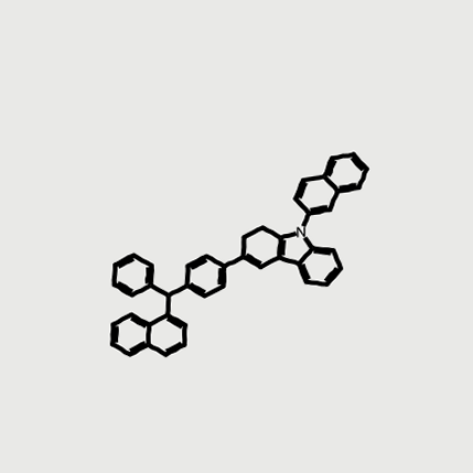 C1=C(c2ccc(C(c3ccccc3)c3cccc4ccccc34)cc2)CCc2c1c1ccccc1n2-c1ccc2ccccc2c1